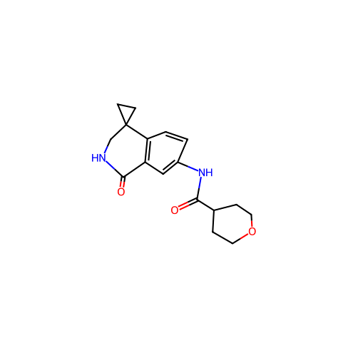 O=C1NCC2(CC2)c2ccc(NC(=O)C3CCOCC3)cc21